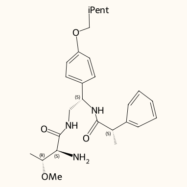 CCCC(C)COc1ccc([C@@H](CNC(=O)[C@@H](N)[C@@H](C)OC)NC(=O)[C@@H](C)c2ccccc2)cc1